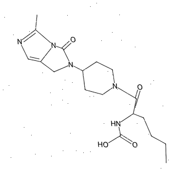 CCCCC(NC(=O)O)C(=O)N1CCC(N2Cc3cnc(C)n3C2=O)CC1